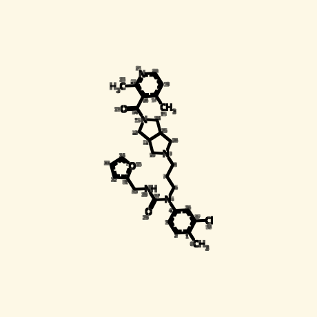 Cc1ccc(N(CCCN2CC3CN(C(=O)c4c(C)ccnc4C)CC3C2)C(=O)NCc2ccco2)cc1Cl